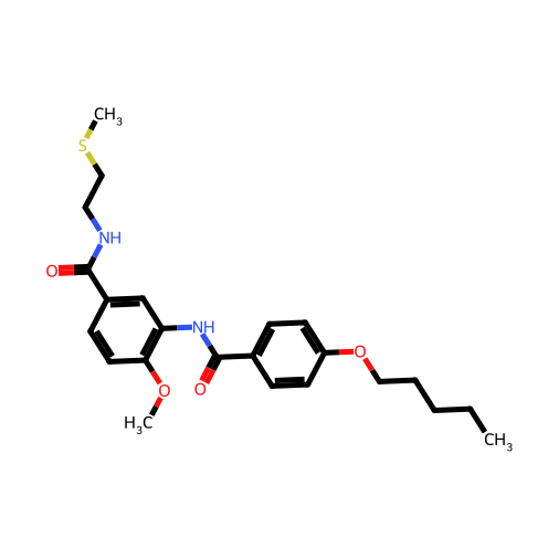 CCCCCOc1ccc(C(=O)Nc2cc(C(=O)NCCSC)ccc2OC)cc1